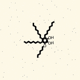 CCCCCCCCc1c(O)c(O)c(OCCCCCC)c(CCCCCCCC)c1CCCCCCCC